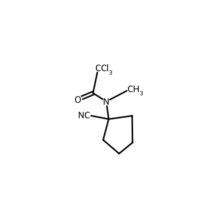 CN(C(=O)C(Cl)(Cl)Cl)C1(C#N)CCCC1